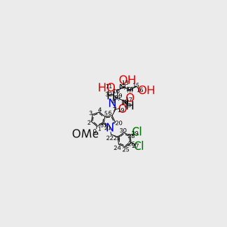 COc1cccc2c(C3=N[C@@H]4C(O)[C@H](O)[C@@H](CO)O[C@@H]4O3)cn(Cc3ccc(Cl)c(Cl)c3)c12